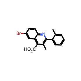 Cc1ccccc1-c1nc2ccc(Br)cc2c(C(=O)O)c1C